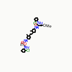 CCOC(N=Nc1ccc(C=Cc2ccc(N=NC(C#COC)C(=O)Nc3ccccc3Cl)cc2C)c(C)c1)OCNc1ccccc1Cl